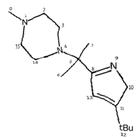 CN1CCN(C(C)(C)C2=NCC(C(C)(C)C)=C2)CC1